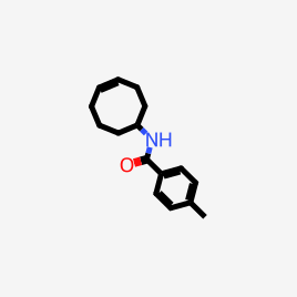 Cc1ccc(C(=O)NC2CC/C=C\CCC2)cc1